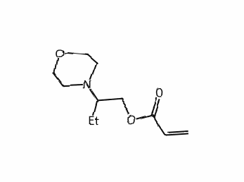 C=CC(=O)OCC(CC)N1CCOCC1